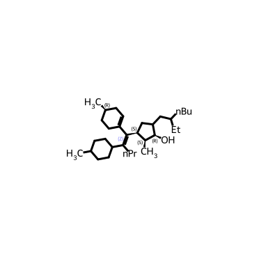 CCCCC(CC)CC1C[C@H](/C(C2=CC[C@H](C)CC2)=C(\CCC)C2CCC(C)CC2)[C@H](C)[C@@H]1O